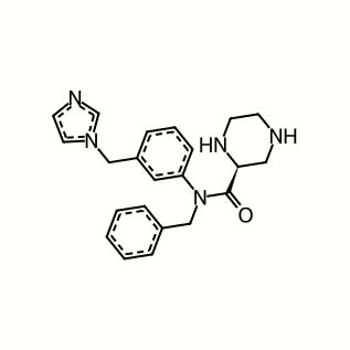 O=C([C@@H]1CNCCN1)N(Cc1ccccc1)c1cccc(Cn2ccnc2)c1